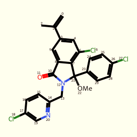 C=C(C)c1cc(Cl)c2c(c1)C(=O)N(Cc1ccc(Cl)cn1)C2(OC)c1ccc(Cl)cc1